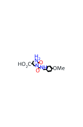 COc1ccc(CNC(=O)N(C[C@H](C)C(=O)O)C(N)=O)cc1